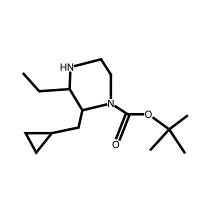 CCC1NCCN(C(=O)OC(C)(C)C)C1CC1CC1